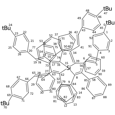 CC(C)(C)c1ccc(C=CC(=C(c2ccccc2)[Si](C(=C(C=Cc2ccc(C(C)(C)C)cc2)c2ccccc2)c2ccccc2)(C(=C(C=Cc2ccc(C(C)(C)C)cc2)c2ccccc2)c2ccccc2)C(=C(C=Cc2ccc(C(C)(C)C)cc2)c2ccccc2)c2ccccc2)c2ccccc2)cc1